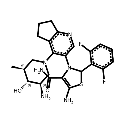 C[C@H]1CN(c2c(N3C(C(N)=O)=C(N)SC3c3c(F)cccc3F)cnc3c2CCC3)C[C@@H](N)[C@@H]1O